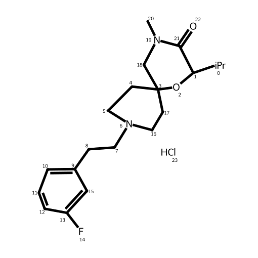 CC(C)C1OC2(CCN(CCc3cccc(F)c3)CC2)CN(C)C1=O.Cl